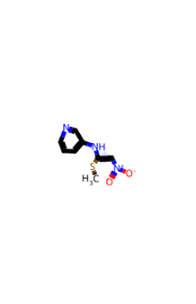 CS/C(=C\[N+](=O)[O-])Nc1cccnc1